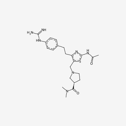 CC(=O)Nc1nc(CCc2ccc(NC(=N)N)cc2)c(CN2CC[C@@H](C(=O)N(C)C)C2)s1